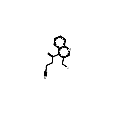 C=C(CCC#N)c1c(CCl)cnc2ccccc12